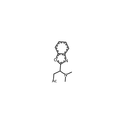 CC(=O)CC(c1nc2ccccc2o1)N(C)C